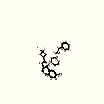 FC1(F)CC(c2nc3cnc4ccc(Cl)cc4c3n2[C@@H]2CCO[C@H](COCc3ccccc3)C2)C1